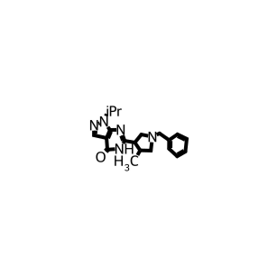 CC1CN(Cc2ccccc2)CC1c1nc2c(cnn2C(C)C)c(=O)[nH]1